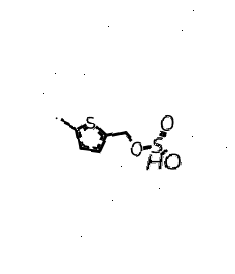 [CH2]c1ccc(CO[SH](=O)=O)s1